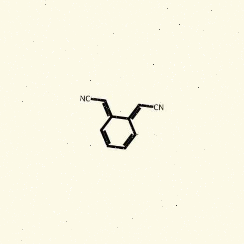 N#CC=c1[c]cccc1=CC#N